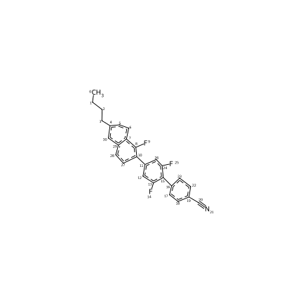 CCCCc1ccc2c(F)c(-c3cc(F)c(-c4ccc(C#N)cc4)c(F)c3)ccc2c1